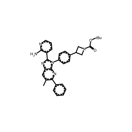 Cc1cc2nc(-c3cccnc3N)n(-c3ccc(C4CN(C(=O)OC(C)(C)C)C4)cc3)c2nc1-c1ccccc1